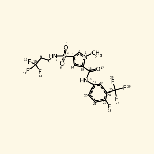 Cn1cc(S(=O)(=O)NCCC(F)(F)F)cc1C(=O)Nc1ccc(F)c(C(F)(F)F)c1